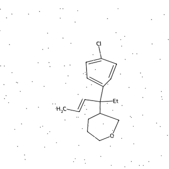 [CH2]C=CC(CC)(c1ccc(Cl)cc1)C1CCCOC1